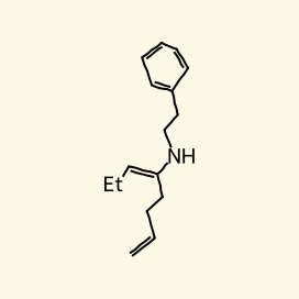 C=CCCC(=CCC)NCCc1ccccc1